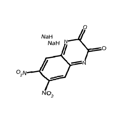 O=C1N=c2cc([N+](=O)[O-])c([N+](=O)[O-])cc2=NC1=O.[NaH].[NaH]